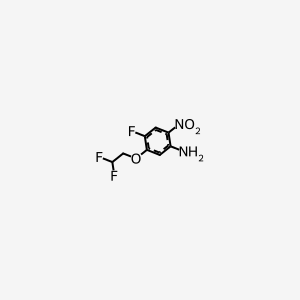 Nc1cc(OCC(F)F)c(F)cc1[N+](=O)[O-]